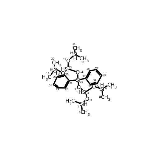 C[SiH](C)O[SiH](O[SiH](C)C)O[Si](O[SiH](O[SiH](C)C)O[SiH](C)C)(c1ccccc1)c1ccccc1